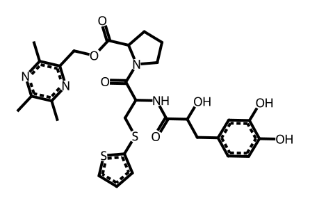 Cc1nc(C)c(COC(=O)C2CCCN2C(=O)C(CSc2cccs2)NC(=O)C(O)Cc2ccc(O)c(O)c2)nc1C